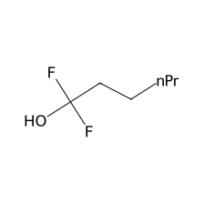 CCCCCC(O)(F)F